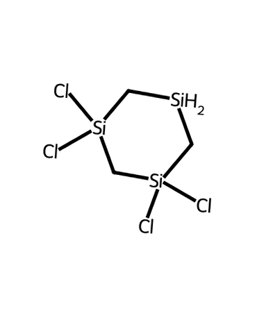 Cl[Si]1(Cl)C[SiH2]C[Si](Cl)(Cl)C1